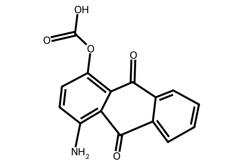 Nc1ccc(OC(=O)O)c2c1C(=O)c1ccccc1C2=O